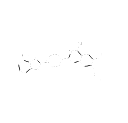 COc1cc2nc(N3CCN(c4nc5c(C)cccc5[nH]4)CC3)nc(N)c2cc1OC